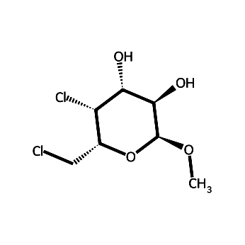 CO[C@H]1O[C@H](CCl)[C@H](Cl)[C@H](O)[C@H]1O